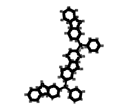 c1ccc(N(c2ccc3c(c2)oc2ccccc23)c2cnc3c(c2)sc2nc(N(c4ccccc4)c4ccc5c(c4)oc4ccccc45)cnc23)cc1